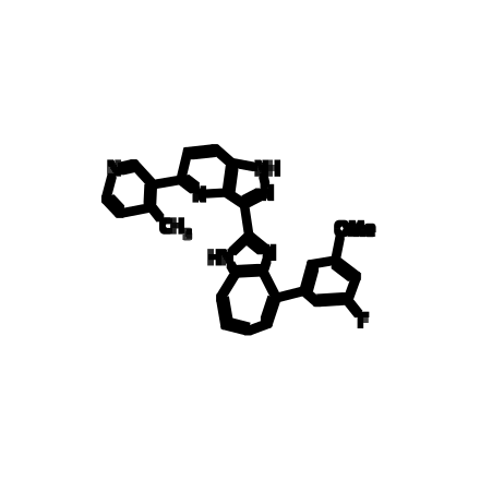 COc1cc(F)cc(C2=CC=C=Cc3[nH]c(-c4n[nH]c5ccc(-c6cnccc6C)nc45)nc32)c1